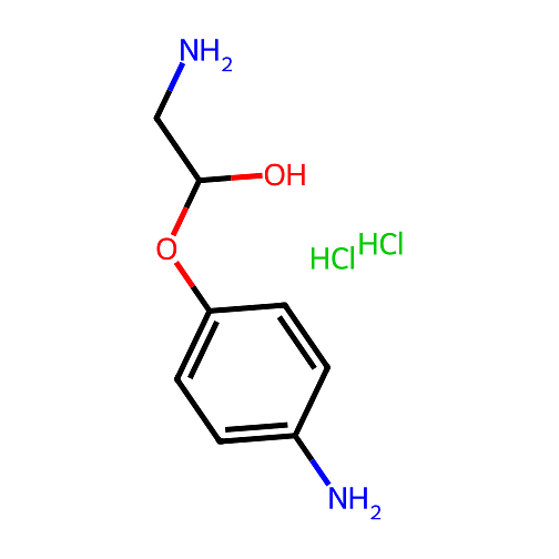 Cl.Cl.NCC(O)Oc1ccc(N)cc1